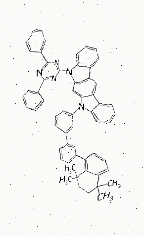 CC1(C)CCC(C)(C)c2c(-c3cccc(-c4cccc(-n5c6ccccc6c6cc7c8ccccc8n(-c8nc(-c9ccccc9)nc(-c9ccccc9)n8)c7cc65)c4)c3)cccc21